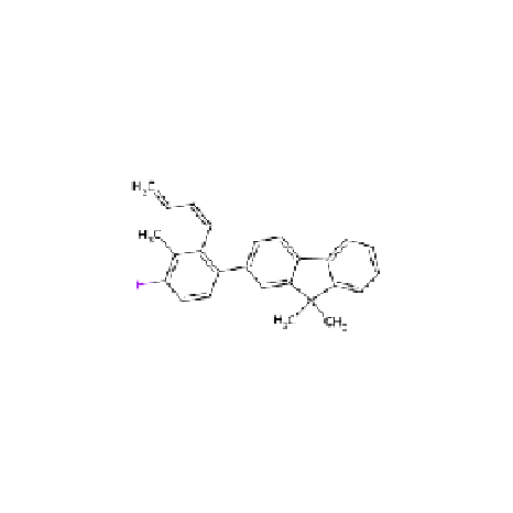 C=C/C=C\c1c(-c2ccc3c(c2)C(C)(C)c2ccccc2-3)ccc(I)c1C